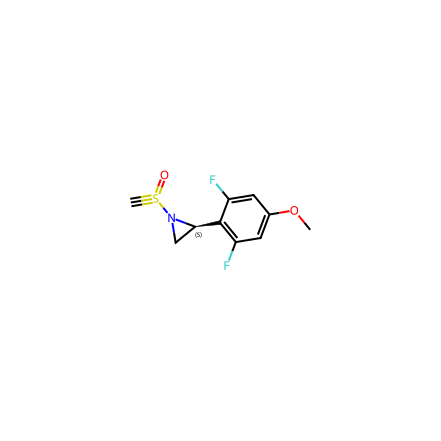 C#S(=O)N1C[C@@H]1c1c(F)cc(OC)cc1F